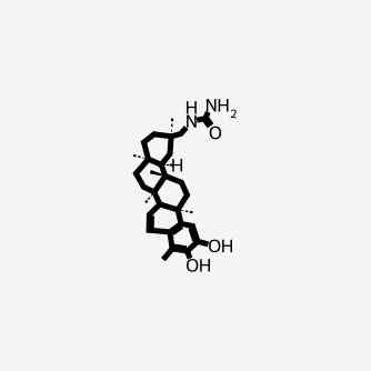 Cc1c(O)c(O)cc2c1C=CC1[C@@]2(C)CC[C@@]2(C)[C@@H]3C[C@](C)(CNC(N)=O)CC[C@]3(C)CC[C@]12C